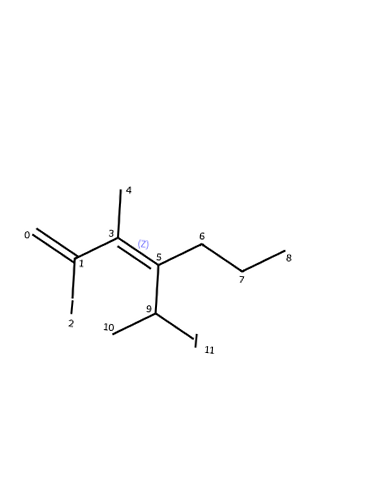 C=C(I)/C(C)=C(/CCC)C(C)I